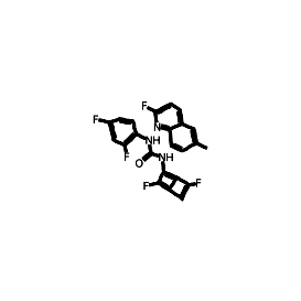 Cc1ccc2nc(F)ccc2c1.O=C(Nc1ccc(F)cc1F)Nc1c(F)c2cc(F)c1-2